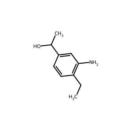 CCc1ccc(C(C)O)cc1N